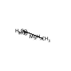 CCCCCCCCCCCCCCCCCC(=O)OC(O)CC.[MgH2]